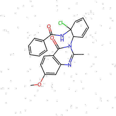 COc1ccc2c(=O)n(C3C=CC=CC3(Cl)NC(=O)c3ccccc3)c(C)nc2c1